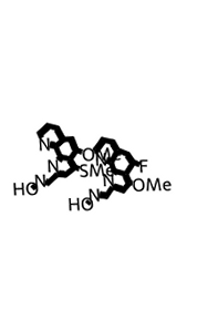 COc1cc(C=NO)nc2c1c(F)cc1cccnc12.COc1cc2cccnc2c2nc(C=NO)cc(SC)c12